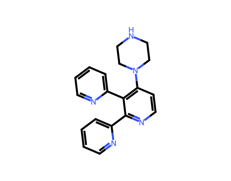 c1ccc(-c2nccc(N3CCNCC3)c2-c2ccccn2)nc1